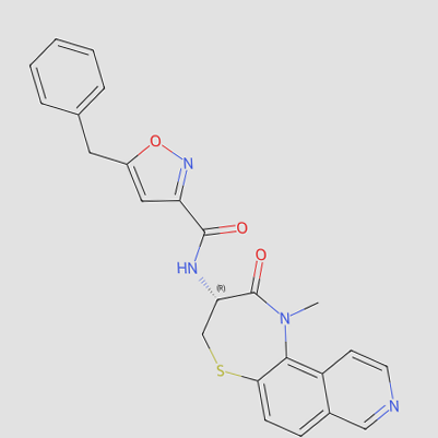 CN1C(=O)[C@@H](NC(=O)c2cc(Cc3ccccc3)on2)CSc2ccc3cnccc3c21